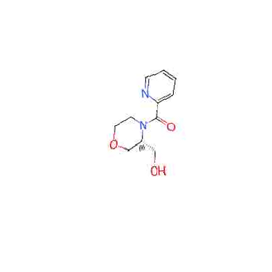 O=C(c1ccccn1)N1CCOC[C@H]1CO